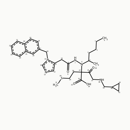 CCCCC(C)N(NC(=O)Cc1cncn1Cc1ccc2ccccc2c1)C(CCSC)(C(=O)O)C(=O)CNCC1CC1